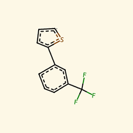 FC(F)(F)c1cccc(-c2cc[c]s2)c1